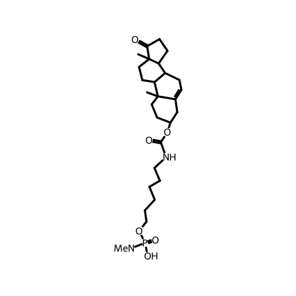 CNP(=O)(O)OCCCCCCNC(=O)OC1CCC2(C)C(=CCC3C4CCC(=O)C4(C)CCC32)C1